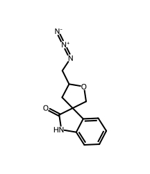 [N-]=[N+]=NCC1CC2(CO1)C(=O)Nc1ccccc12